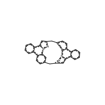 c1ccc2c(c1)c1ccc3cc1n1nc(cc21)Cc1ccc2c4ccccc4c4cc(nn4c2c1)C3